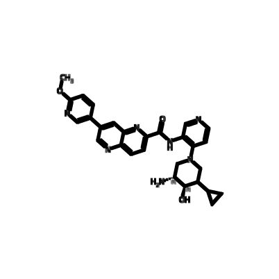 COc1ccc(-c2cnc3ccc(C(=O)Nc4cnccc4N4CC(C5CC5)[C@@H](O)[C@H](N)C4)nc3c2)cn1